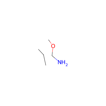 CCC.COCN